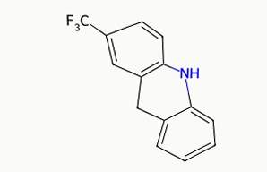 FC(F)(F)c1ccc2c(c1)Cc1ccccc1N2